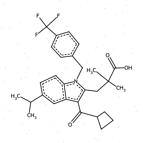 CC(C)c1ccc2c(c1)c(C(=O)C1CCC1)c(CC(C)(C)C(=O)O)n2Cc1ccc(C(F)(F)F)cc1